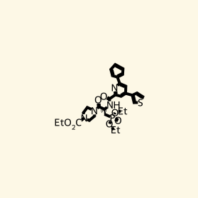 CCOC(=O)N1CCN(C(=O)[C@H](CP(=O)(OCC)OCC)NC(=O)c2cc(-c3ccsc3)cc(-c3ccccc3)n2)CC1